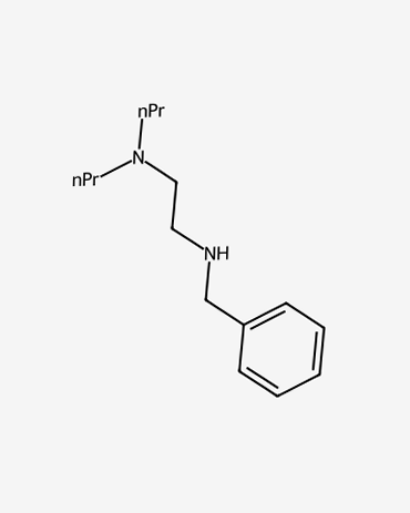 CCCN(CCC)CCNCc1ccccc1